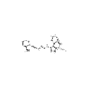 N#Cc1ccccc1C#CCOCCn1cnc2c(N)nc3ccccc3c21